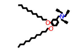 C#CC[N+](CC#C)(CC#C)Cc1ccc(OCCCCCCCCCCCC)c(OCCCCCCCCCCCC)c1